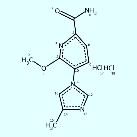 COc1nc(C(N)=O)ccc1-n1cnc(C)c1.Cl.Cl